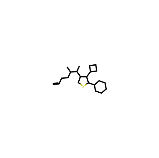 C=CCCC(C)C(C)C1CSC(C2CCCCC2)C1C1CCC1